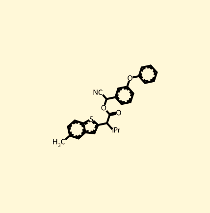 Cc1ccc2sc(C(C(=O)OC(C#N)c3cccc(Oc4ccccc4)c3)C(C)C)cc2c1